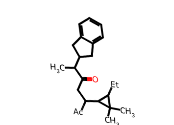 CCC1C(C(CC(=O)C(C)C2Cc3ccccc3C2)C(C)=O)C1(C)C